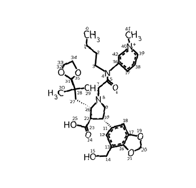 CCCCN(C(=O)CN1C[C@H](c2cc(CO)c3c(c2)OCO3)[C@@H](C(=O)O)[C@@H]1CC(C)(C)C1OCCO1)c1ccc[n+](C)c1